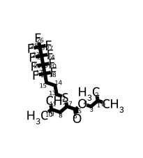 CC(C)COC(=O)C(CC(C)C)SCCCC(F)(F)C(F)(F)C(F)(F)C(F)(F)F